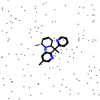 Cc1ccc(C(C)(c2ccccn2)C2CC=C[C@@H](C)N2)nc1